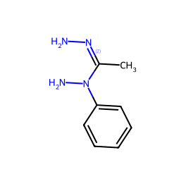 C/C(=N/N)N(N)c1ccccc1